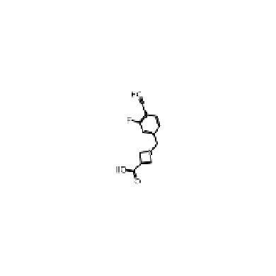 C#Cc1ccc(CN2CC(C(=O)O)C2)cc1F